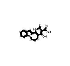 O=C(O)c1c(O)c2c([nH]c1=O)-c1cc3ccccc3n1CCC2